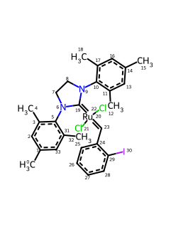 Cc1cc(C)c(N2CCN(c3c(C)cc(C)cc3C)[C]2=[Ru]([Cl])([Cl])=[CH]c2ccccc2I)c(C)c1